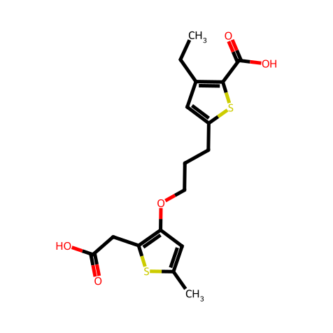 CCc1cc(CCCOc2cc(C)sc2CC(=O)O)sc1C(=O)O